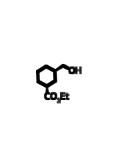 CCOC(=O)[C@H]1CCC[C@@H](CO)C1